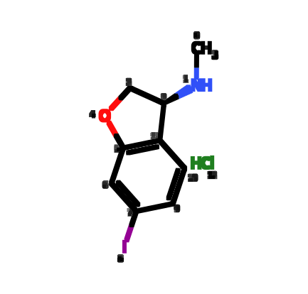 CN[C@@H]1COc2cc(I)ccc21.Cl